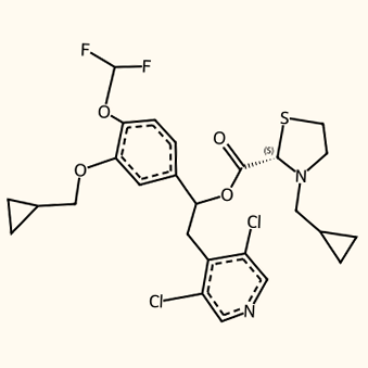 O=C(OC(Cc1c(Cl)cncc1Cl)c1ccc(OC(F)F)c(OCC2CC2)c1)[C@@H]1SCCN1CC1CC1